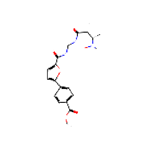 CCCCC[C@@H](C(=O)NCNC(=O)c1ccc(-c2ccc(C(=O)OCCCC)cc2)o1)[C@@H](CC)N(O)C=O